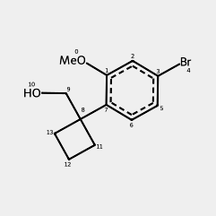 COc1cc(Br)ccc1C1(CO)CCC1